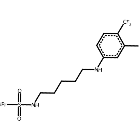 Cc1cc(NCCCCCNS(=O)(=O)C(C)C)ccc1C(F)(F)F